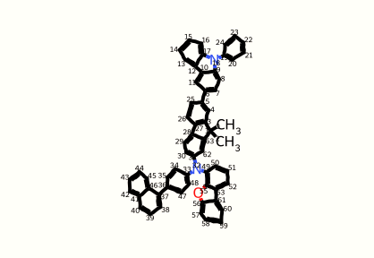 CC1(C)c2cc(-c3ccc4c(c3)c3ccccc3n4-c3ccccc3)ccc2-c2ccc(N(c3ccc(-c4cccc5ccccc45)cc3)c3cccc4c3oc3ccccc34)cc21